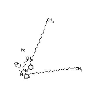 CCCCCCCCCCCCCCCCCCC=Cc1cccc(N=C(CCCC)C(CCCCC)=Nc2cccc(C=CCCCCCCCCCCCCCCCCCC)c2)c1.[Pd]